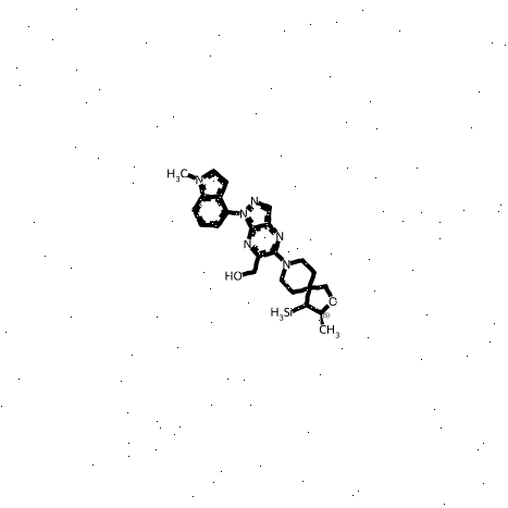 C[C@@H]1OCC2(CCN(c3nc4cnn(-c5cccc6c5ccn6C)c4nc3CO)CC2)C1[SiH3]